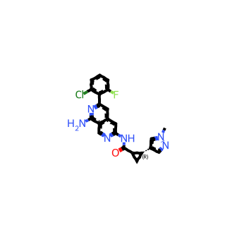 Cn1cc([C@@H]2CC2C(=O)Nc2cc3cc(-c4c(F)cccc4Cl)nc(N)c3cn2)cn1